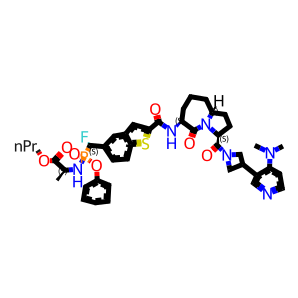 CCCOC(=O)[C@H](C)NP(=O)(Oc1ccccc1)[C@H](F)c1ccc2sc(C(=O)N[C@H]3CCC[C@H]4CC[C@@H](C(=O)N5CC(c6cnccc6N(C)C)C5)N4C3=O)cc2c1